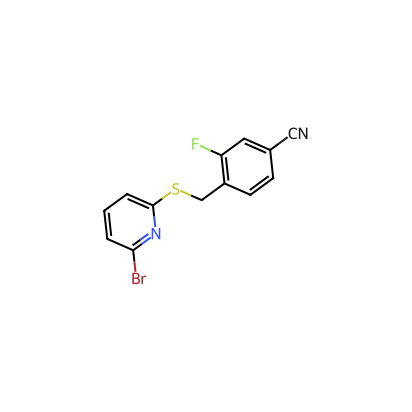 N#Cc1ccc(CSc2cccc(Br)n2)c(F)c1